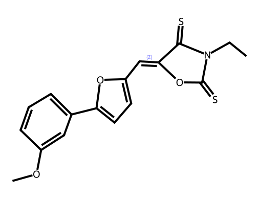 CCN1C(=S)O/C(=C\c2ccc(-c3cccc(OC)c3)o2)C1=S